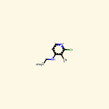 CCCCCCCCNc1ccnc(Cl)c1C#N